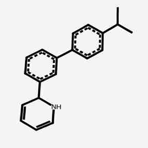 CC(C)c1ccc(-c2cccc(C3C=CC=CN3)c2)cc1